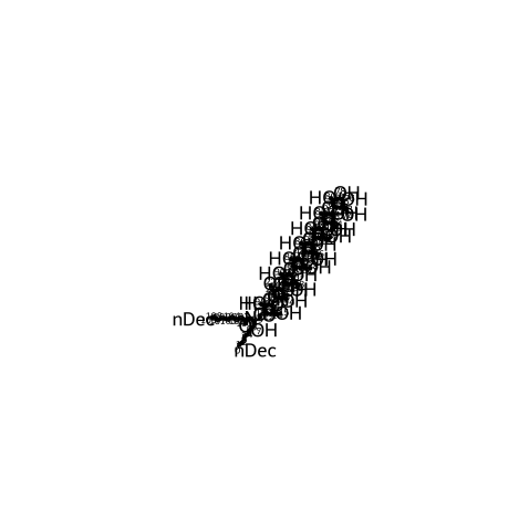 CCCCCCCCCCCCC/C=C/[C@@H](O)[C@H](CO[C@@H]1OC(CO)[C@@H](O[C@@H]2OC(CO)[C@H](O[C@@H]3OC(CO)[C@H](O)[C@H](O[C@H]4OC(CO)[C@H](O)[C@H](O[C@H]5OC(CO)[C@H](O)[C@H](O[C@H]6OC(CO)[C@H](O)[C@H](O[C@H]7OC(CO)[C@H](O)[C@H](O[C@H]8OC(CO)[C@H](O)[C@H](O)C8O)C7O)C6O)C5O)C4O)C3O)[C@H](O)C2O)[C@H](O)C1O)NC(=O)CCCCCCCCCCCCCCCCC